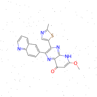 COc1cc(=O)c2nc(-c3ccc4ncccc4c3)c(-c3cnc(C)s3)nc2[nH]1